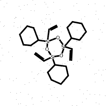 C=C[Si]1(C2CCCCC2)O[Si](C=C)(C2CCCCC2)O[Si](C=C)(C2CCCCC2)O1